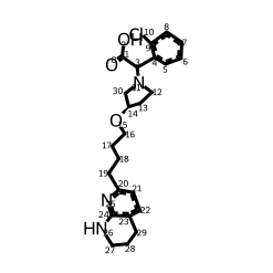 O=C(O)C(c1ccccc1Cl)N1CC[C@@H](OCCCCc2ccc3c(n2)NCCC3)C1